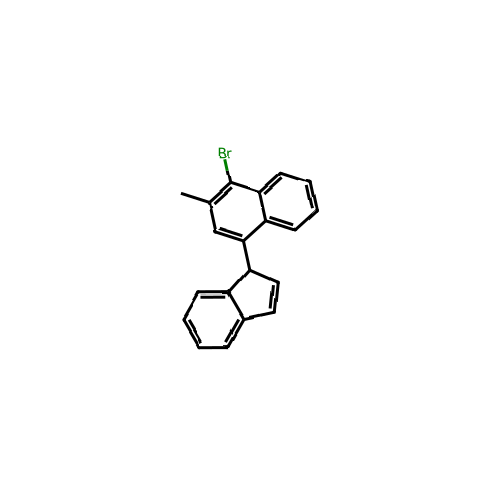 Cc1cc(C2C=Cc3ccccc32)c2ccccc2c1Br